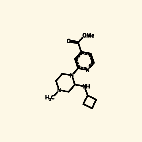 COC(=O)c1ccnc(N2CCN(C)CC2NC2CCC2)c1